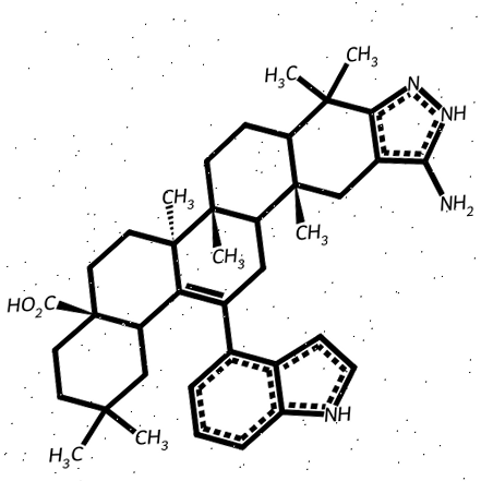 CC1(C)CC[C@]2(C(=O)O)CC[C@]3(C)C(=C(c4cccc5[nH]ccc45)CC4[C@@]5(C)Cc6c(n[nH]c6N)C(C)(C)C5CC[C@]43C)C2C1